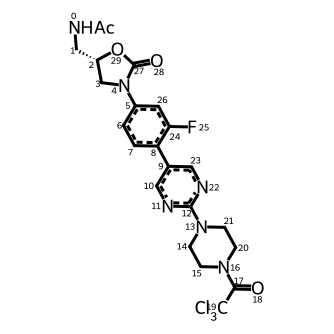 CC(=O)NC[C@H]1CN(c2ccc(-c3cnc(N4CCN(C(=O)C(Cl)(Cl)Cl)CC4)nc3)c(F)c2)C(=O)O1